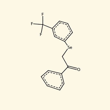 O=C(C[Se]c1cccc(C(F)(F)F)c1)c1ccccc1